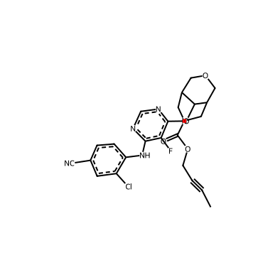 CC#CCOC(=O)N1CC2COCC(C1)C2Oc1ncnc(Nc2ccc(C#N)cc2Cl)c1F